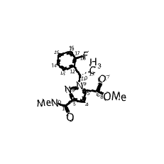 CNC(=O)c1cc(C(=O)OC)n([C@@H](C)c2ccccc2F)n1